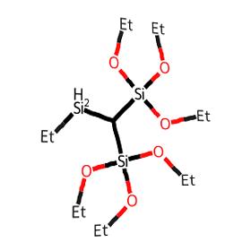 [CH2]C[SiH2]C([Si](OCC)(OCC)OCC)[Si](OCC)(OCC)OCC